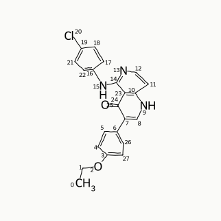 CCOc1ccc(-c2c[nH]c3ccnc(Nc4ccc(Cl)cc4)c3c2=O)cc1